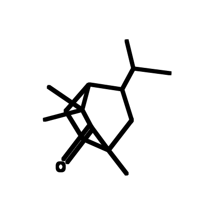 CC(C)C1CC2(C)CCC1C(C)(C)C2=O